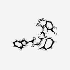 CC(C)(C)NC(=O)C(=O)[C@H](C[C@@H]1CCCNC1=O)NC(=O)[C@H](CC1CCCCC1)NC(=O)c1cc2ccccc2s1